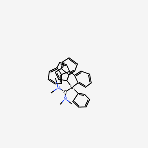 C[N](C)[Zr]([N](C)C)[Sn]([c]1ccccc1)([c]1ccccc1C1C=Cc2ccccc21)[CH]1C=Cc2ccccc21